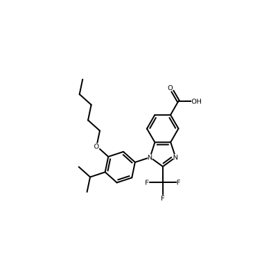 CCCCCOc1cc(-n2c(C(F)(F)F)nc3cc(C(=O)O)ccc32)ccc1C(C)C